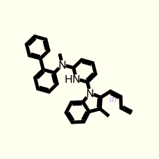 C=C/C=C\c1c(C)c2ccccc2n1C1=CC=CC(N(C)c2ccccc2-c2ccccc2)N1